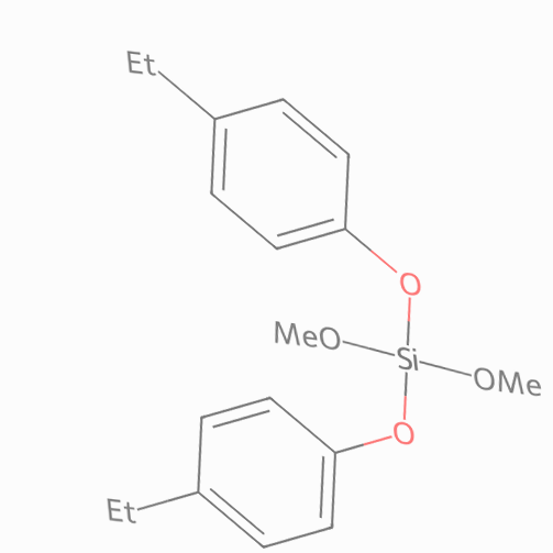 CCc1ccc(O[Si](OC)(OC)Oc2ccc(CC)cc2)cc1